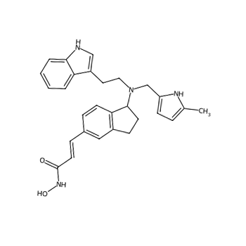 Cc1ccc(CN(CCc2c[nH]c3ccccc23)C2CCc3cc(C=CC(=O)NO)ccc32)[nH]1